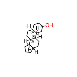 O[C@@H]1CC[C@@H]2CC[C@@H]3[C@H](CC[C@@H]4CCC[C@H]43)[C@H]2C1